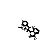 Cc1n[nH]c(C2(C)c3n[nH]c(=O)c4cccc(c34)NC2c2ccc(F)cc2)n1